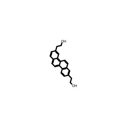 OCCc1ccc2c(ccc3c4cc(CCO)ccc4ccc23)c1